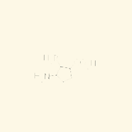 BC1C(N)CCC1C(=O)O